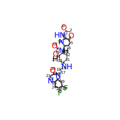 O=C1COc2ccc(N3C(=O)O[C@H]4C[C@@H](NCCn5c(=O)cnc6cc(F)c(F)cc65)CC[C@@H]43)nc2N1